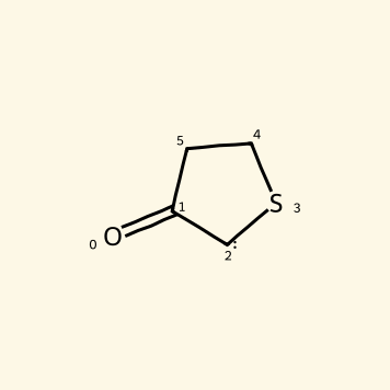 O=C1[C]SCC1